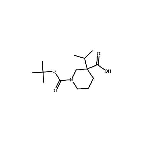 CC(C)C1(C(=O)O)CCCN(C(=O)OC(C)(C)C)C1